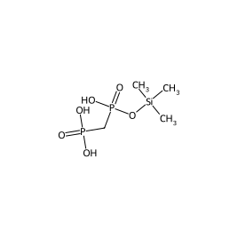 C[Si](C)(C)OP(=O)(O)CP(=O)(O)O